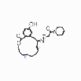 O=C1OCC/C=C/CC/C=C/C(=N/OCC(=O)N2CC=CCC2)Cc2cc(O)ccc21